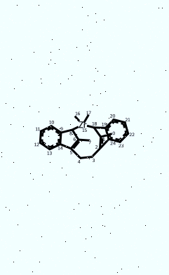 CC1=C2CCC3=C(C)[CH](c4ccccc43)[Zr]([CH3])([CH3])[CH]1c1ccccc12